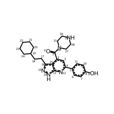 O=C(c1cc(-c2ccc(O)cc2)nc2[nH]nc(CCC3CCCCC3)c12)N1CCNCC1